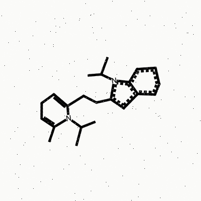 CC1=CCC=C(CCc2cc3ccccc3n2C(C)C)N1C(C)C